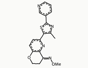 CO/N=C1\CCOc2ccc(-c3sc(-c4cccnc4)nc3C)nc21